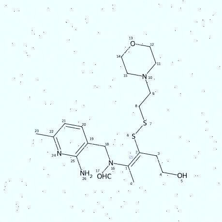 C/C(=C(\CCO)SSCCN1CCOCC1)N(C=O)Cc1ccc(C)nc1N